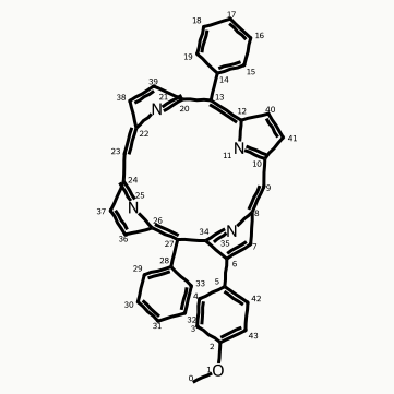 COc1ccc(C2=CC3=CC4=NC(=C(c5ccccc5)C5=NC(=CC6=NC(=C(c7ccccc7)C2=N3)C=C6)C=C5)C=C4)cc1